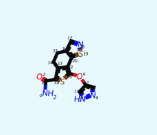 NC(=O)c1sc(Oc2cn[nH]c2)c2c1CCc1cnsc1-2